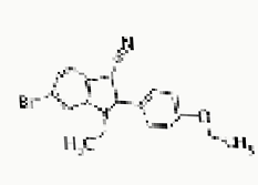 CCOc1ccc(C2C(C#N)c3ccc(Br)cc3N2CC)cc1